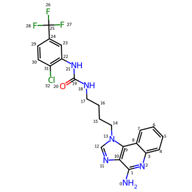 Nc1nc2ccccc2c2c1ncn2CCCCNC(=O)Nc1cc(C(F)(F)F)ccc1Cl